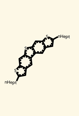 CCCCCCCc1cc2cc3c(cc2s1)sc1cc2sc(CCCCCCC)cc2cc13